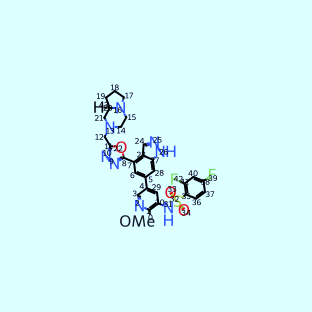 COc1ncc(-c2cc(-c3nnc(CN4CCN5CCC[C@H]5C4)o3)c3cn[nH]c3c2)cc1NS(=O)(=O)c1ccc(F)cc1F